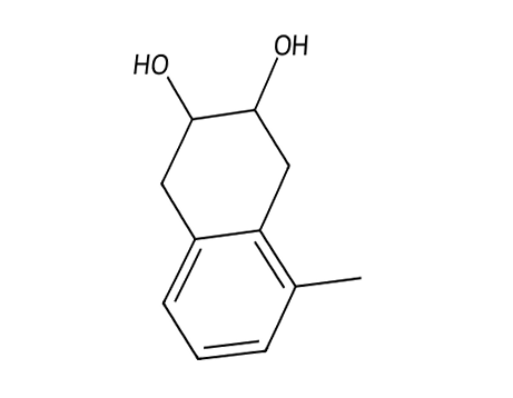 Cc1cccc2c1CC(O)C(O)C2